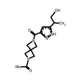 CC(CO)c1cc(C(=O)N2CC3(C2)CN(C(=O)C(C)(C)C)C3)n[nH]1